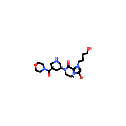 CC(C)CN(C(=O)c1nc(Br)cn1CCCCO)[C@@H]1CNC[C@H](C(=O)N2CCOCC2)C1